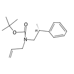 C=CCN(C[C@H](C)c1ccccc1)C(=O)OC(C)(C)C